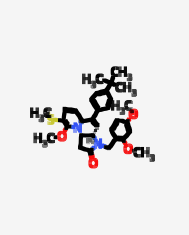 COc1ccc(CN2C(=O)CC[C@@H]2C=C(c2ccc(C(C)(C)C)cc2)c2ccc(SC)c(OC)n2)c(OC)c1